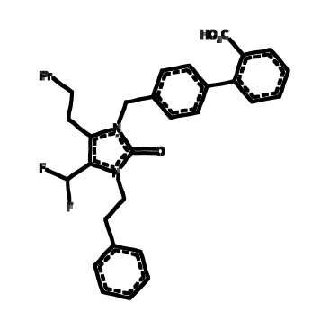 CC(C)CCc1c(C(F)F)n(CCc2ccccc2)c(=O)n1Cc1ccc(-c2ccccc2C(=O)O)cc1